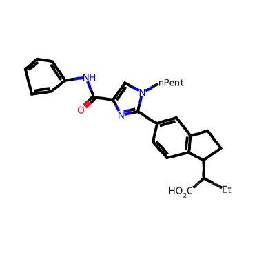 CCCCCn1cc(C(=O)Nc2ccccc2)nc1-c1ccc2c(c1)CCC2C(CC)C(=O)O